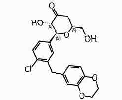 O=C1C[C@@H](CO)O[C@@H](c2ccc(Cl)c(Cc3ccc4c(c3)OCCO4)c2)[C@@H]1O